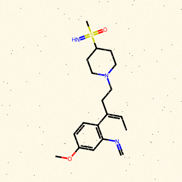 C=Nc1cc(OC)ccc1/C(=C\C)CCN1CCC(S(C)(=N)=O)CC1